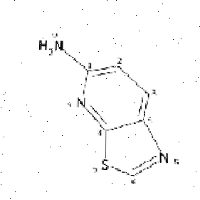 Nc1ccc2ncsc2n1